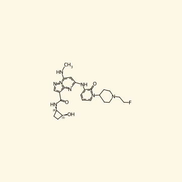 CNc1cc(Nc2cccn(C3CCN(CCF)CC3)c2=O)nc2c(C(=O)N[C@@H]3CC[C@@H]3O)cnn12